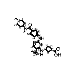 CN1CCC(N(C)C(=O)c2ccc(Nc3ncc(C(F)(F)F)c(N[C@H]4CC[C@@H](C(=O)O)C4)n3)cc2)CC1